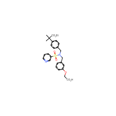 CCOC(=O)C(C)(C)c1ccc(CN(Cc2cccc(OCC(=O)O)c2)S(=O)(=O)c2cccnc2)cc1